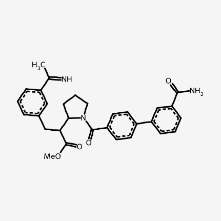 COC(=O)C(Cc1cccc(C(C)=N)c1)C1CCCN1C(=O)c1ccc(-c2cccc(C(N)=O)c2)cc1